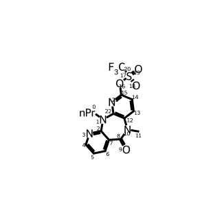 CCCN1c2ncccc2C(=O)N(C)c2ccc(OS(=O)(=O)C(F)(F)F)nc21